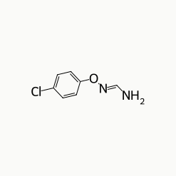 NC=NOc1ccc(Cl)cc1